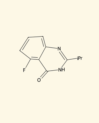 CC(C)c1nc2cccc(F)c2c(=O)[nH]1